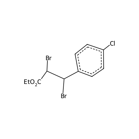 CCOC(=O)C(Br)C(Br)c1ccc(Cl)cc1